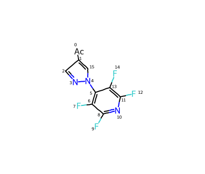 CC(=O)c1cnn(-c2c(F)c(F)nc(F)c2F)c1